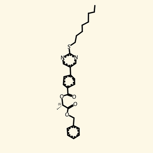 CCCCCCCCSc1ncc(-c2ccc(C(=O)O[C@@H](C)C(=O)OCc3ccccc3)cc2)cn1